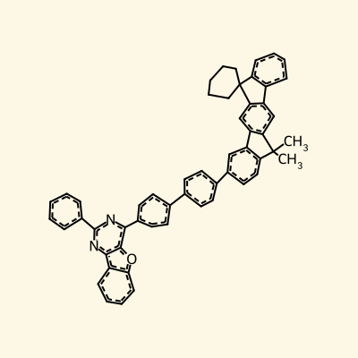 CC1(C)c2ccc(-c3ccc(-c4ccc(-c5nc(-c6ccccc6)nc6c5oc5ccccc56)cc4)cc3)cc2-c2cc3c(cc21)-c1ccccc1C31CCCCC1